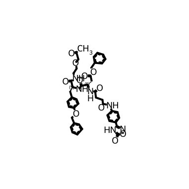 CC(=O)COCCNC(=O)[C@H](Cc1ccc(OCc2ccccc2)cc1)NC(=O)[C@H](CC(=O)OCc1ccccc1)NC(=O)CCC(=O)Nc1ccc(-c2noc(=O)[nH]2)cc1